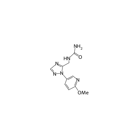 COc1ccc(-n2ncnc2CNC(N)=O)cn1